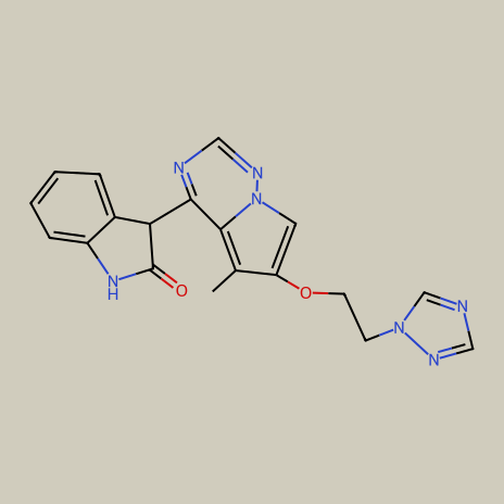 Cc1c(OCCn2cncn2)cn2ncnc(C3C(=O)Nc4ccccc43)c12